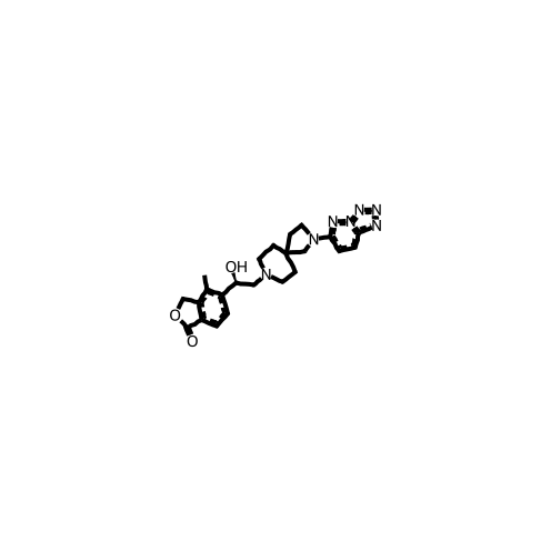 Cc1c([C@@H](O)CN2CCC3(CC2)CCN(c2ccc4nnnn4n2)C3)ccc2c1COC2=O